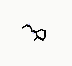 C/C=C\N=C1/CC=CC=C1C